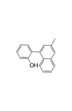 Cc1cc(-c2ccccc2O)c2ccccc2c1